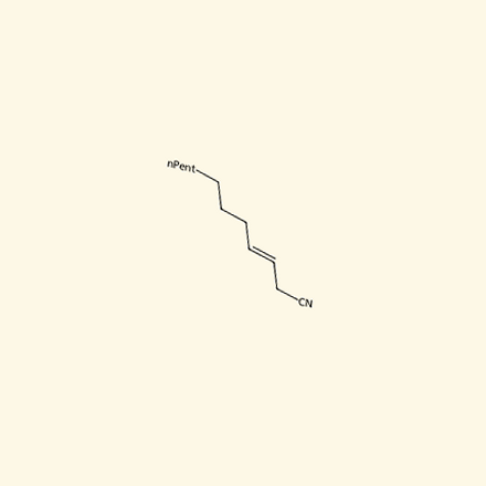 CCCCCCCCC=CCC#N